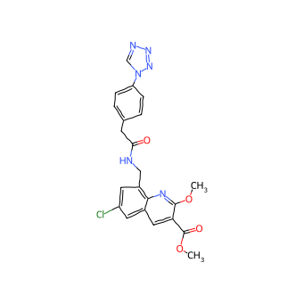 COC(=O)c1cc2cc(Cl)cc(CNC(=O)Cc3ccc(-n4cnnn4)cc3)c2nc1OC